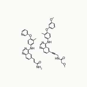 COCC(=O)NCC#Cc1ccc2ncnc(Nc3ccc(Oc4cccc(OC)c4)c(C)c3)c2c1.Cc1cc(Nc2ncnc3ccc(C=CC(N)=O)cc23)ccc1Oc1cccnc1